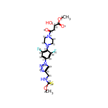 COC(=O)[C@@H](O)CC(=O)N1CCN(c2c(F)cc(-n3cc(CNC(=S)OC)nn3)cc2F)CC1